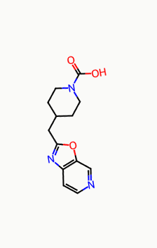 O=C(O)N1CCC(Cc2nc3ccncc3o2)CC1